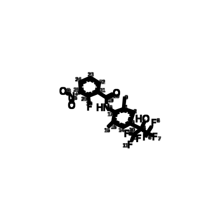 Cc1cc(C(O)(C(F)(F)F)C(F)(F)F)cc(C)c1NC(=O)c1cccc([N+](=O)[O-])c1F